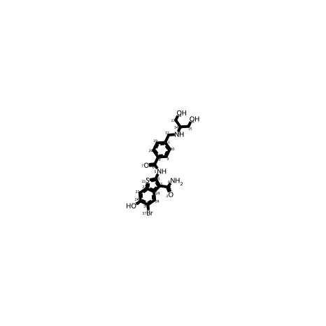 NC(=O)c1c(NC(=O)c2ccc(CNC(CO)CO)cc2)sc2cc(O)c(Br)cc12